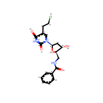 O=C(NC[C@H]1O[C@@H](n2cc(CCCl)c(=O)[nH]c2=O)C[C@@H]1O)c1ccccc1